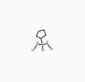 CCN[Si](CC)(NCC)C1CCCC1